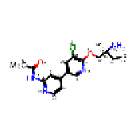 COC(=O)Nc1cc(-c2cnc(OC[C@@](C)(N)CC(C)C)c(Cl)c2)ccn1